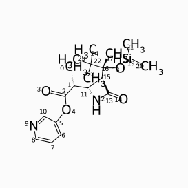 C[C@@H](C(=O)Oc1cccnc1)[C@H]1NC(=O)[C@@H]1[C@@](C)(O[SiH](C)C)C(C)(C)C